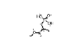 CON=C(C)CP(=O)(O)O